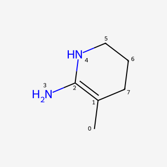 CC1=C(N)NCCC1